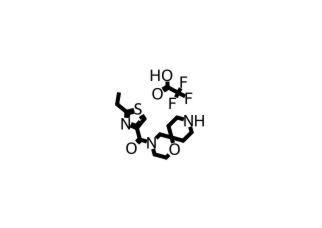 CCc1nc(C(=O)N2CCOC3(CCNCC3)C2)cs1.O=C(O)C(F)(F)F